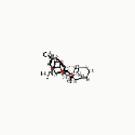 Nc1cc(Cl)ccc1C=CC(=O)N1C2CCCC1CN(Cc1ccc(F)cc1)C2